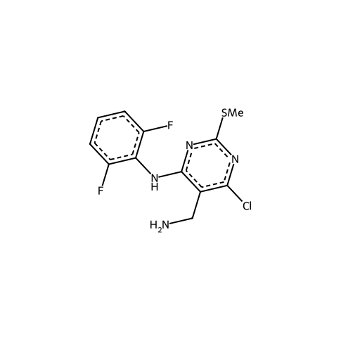 CSc1nc(Cl)c(CN)c(Nc2c(F)cccc2F)n1